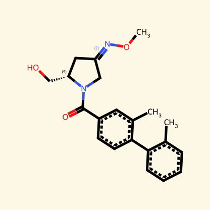 CO/N=C1/C[C@@H](CO)N(C(=O)c2ccc(-c3ccccc3C)c(C)c2)C1